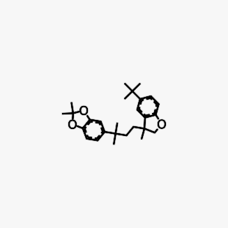 CC1(C)Oc2ccc(C(C)(C)CCC3(C)COc4ccc(C(C)(C)C)cc43)cc2O1